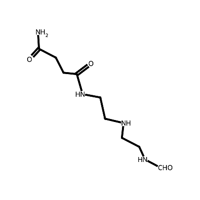 NC(=O)CCC(=O)NCCNCCNC=O